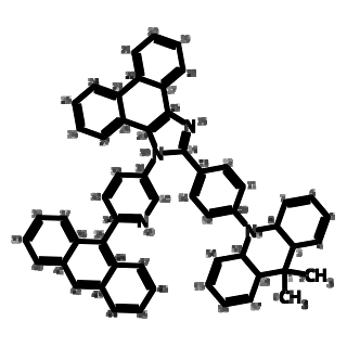 CC1(C)C2C=CC=CC2N(c2ccc(-c3nc4c5ccccc5c5ccccc5c4n3-c3ccc(-c4c5ccccc5cc5ccccc45)nc3)cc2)C2C=CC=CC21